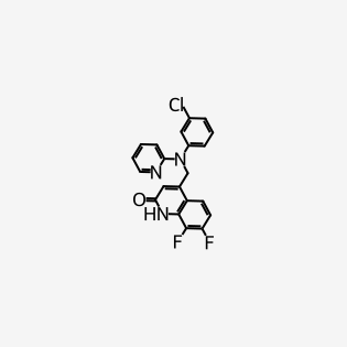 O=c1cc(CN(c2cccc(Cl)c2)c2ccccn2)c2ccc(F)c(F)c2[nH]1